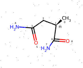 C[C@H](CC(N)=O)C(N)=O